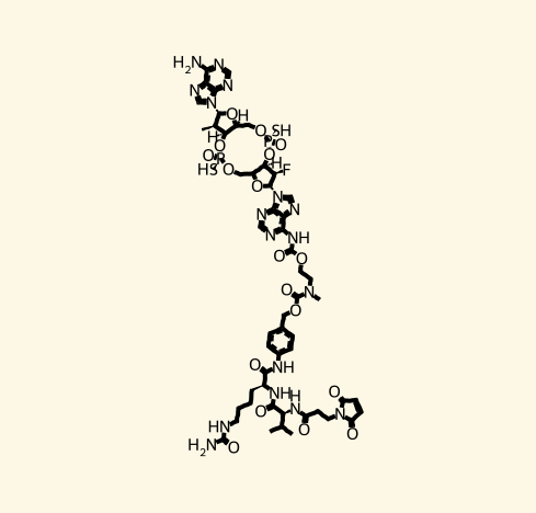 CC(C)[C@H](NC(=O)CCN1C(=O)C=CC1=O)C(=O)N[C@@H](CCCCNC(N)=O)C(=O)Nc1ccc(COC(=O)N(C)CCOC(=O)Nc2ncnc3c2ncn3[C@@H]2OC3CO[P@@](=O)(S)O[C@H]4[C@@H](C)[C@H](n5cnc6c(N)ncnc65)O[C@@H]4CO[P@](=O)(S)O[C@H]3[C@H]2F)cc1